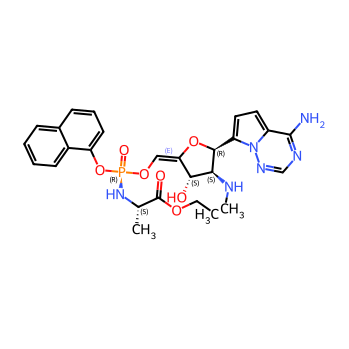 CCOC(=O)[C@H](C)N[P@@](=O)(O/C=C1/O[C@@H](c2ccc3c(N)ncnn23)[C@@H](NC)[C@@H]1O)Oc1cccc2ccccc12